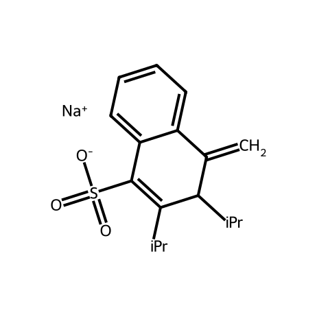 C=C1c2ccccc2C(S(=O)(=O)[O-])=C(C(C)C)C1C(C)C.[Na+]